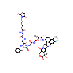 CC[C@@]1(O)C(=O)OCc2c1cc1n(c2=O)Cc2c-1nc1cc(F)c(C)c3c1c2[C@@H](NC(=O)C(C)OCNC(=O)CNC(=O)[C@H](Cc1ccccc1)NC(=O)CNC(=O)CNC(=O)CCCCCN1C(=O)C=CC1=O)CC3